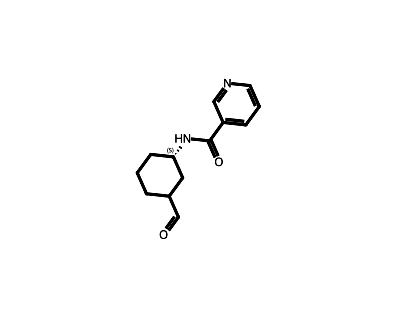 O=CC1CCC[C@H](NC(=O)c2cccnc2)C1